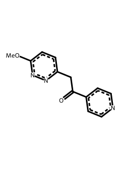 COc1ccc(CC(=O)c2ccncc2)nn1